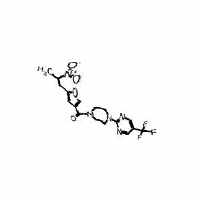 CC(Cc1cc(C(=O)N2CCN(c3ncc(C(F)(F)F)cn3)CC2)co1)[N+](=O)[O-]